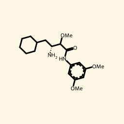 COc1cc(NC(=O)C(OC)[C@H](N)CC2CCCCC2)cc(OC)c1